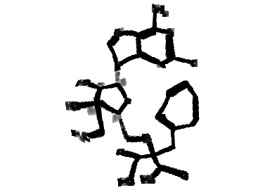 CC[C@@]1(O)[C@@H](COC(Cc2ccccc2)(C(=O)O)C(=O)O)O[C@@H](n2cnc3c(N)nc(Cl)nc32)[C@@H]1O